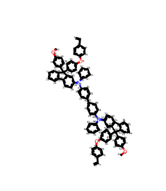 C=Cc1ccc(Oc2ccc(C3(c4ccc(OC)cc4)c4ccccc4-c4ccc(N(c5ccccc5)c5ccc(-c6ccc(N(c7ccccc7)c7ccc8c(c7)C(c7ccc(OC)cc7)(c7ccc(Oc9ccc(C=C)cc9)cc7)c7ccccc7-8)cc6)cc5)cc43)cc2)cc1